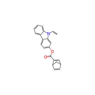 C=Cn1c2ccccc2c2ccc(OC(=O)C3=CC4C=CC3C4)cc21